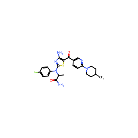 CC(C(N)=O)N(c1ccc(F)cc1)c1nc(N)c(C(=O)c2ccc(N3CCC(C(F)(F)F)CC3)nc2)s1